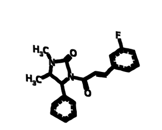 CC1C(c2ccccc2)N(C(=O)/C=C/c2cccc(F)c2)C(=O)N1C